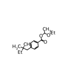 CCOC(C)OC(=O)c1ccc(CC(C)(C)CC)cc1